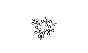 O=S(=O)(O)OOS(=O)(=O)O.O=S(=O)([O-])OOS(=O)(=O)[O-].[K+].[K+]